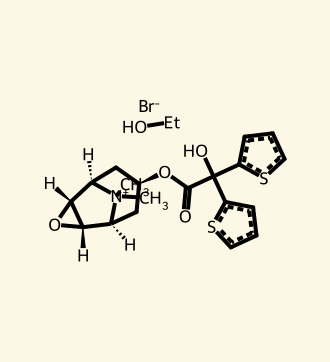 CCO.C[N+]1(C)[C@@H]2C[C@@H](OC(=O)C(O)(c3cccs3)c3cccs3)C[C@H]1[C@@H]1O[C@@H]12.[Br-]